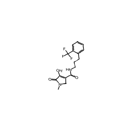 CN1CC(C(=O)NCCCc2ccccc2C(F)(F)F)=C(O)C1=O